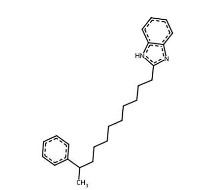 CC(CCCCCCCCCc1nc2ccccc2[nH]1)c1ccccc1